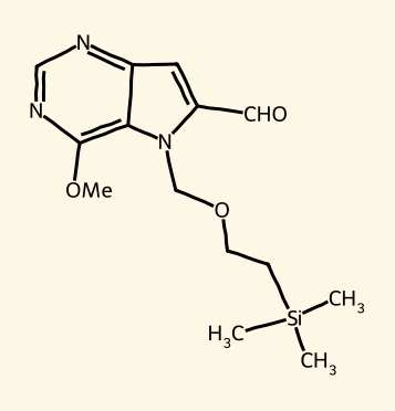 COc1ncnc2cc(C=O)n(COCC[Si](C)(C)C)c12